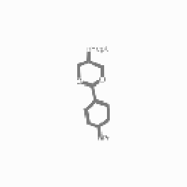 CCCCCCCC1COC(C2CCC(CCC)CC2)OC1